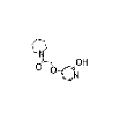 O=C(COc1ccnc(O)c1)N1CCCCC1